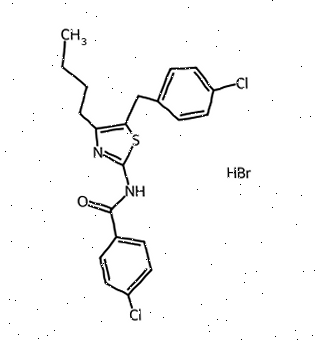 Br.CCCCc1nc(NC(=O)c2ccc(Cl)cc2)sc1Cc1ccc(Cl)cc1